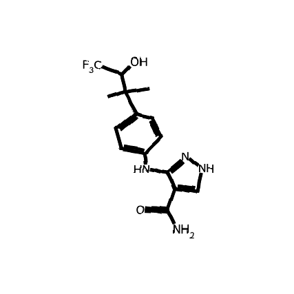 CC(C)(c1ccc(Nc2n[nH]cc2C(N)=O)cc1)C(O)C(F)(F)F